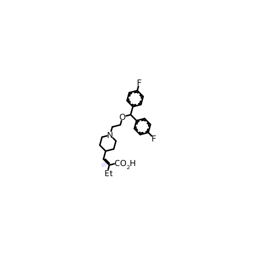 CC/C(=C/C1CCN(CCOC(c2ccc(F)cc2)c2ccc(F)cc2)CC1)C(=O)O